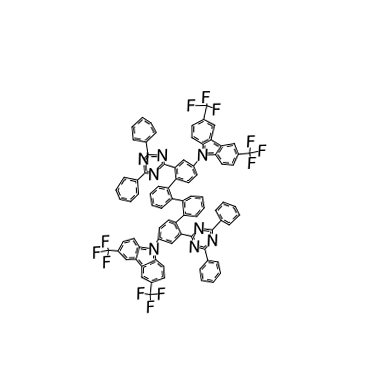 FC(F)(F)c1ccc2c(c1)c1cc(C(F)(F)F)ccc1n2-c1ccc(-c2ccccc2-c2ccccc2-c2ccc(-n3c4ccc(C(F)(F)F)cc4c4cc(C(F)(F)F)ccc43)cc2-c2nc(-c3ccccc3)nc(-c3ccccc3)n2)c(-c2nc(-c3ccccc3)nc(-c3ccccc3)n2)c1